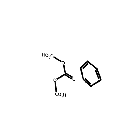 O=C(O)OC(=O)OC(=O)O.c1ccccc1